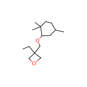 CCC1(COC2CC(C)CCC2(C)C)COC1